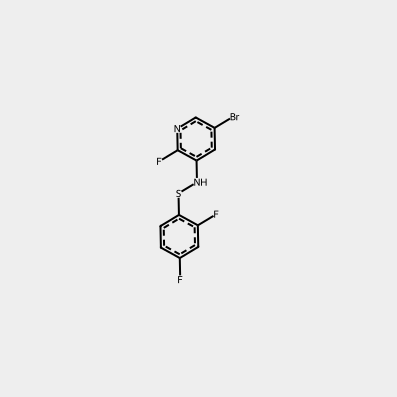 Fc1ccc(SNc2cc(Br)cnc2F)c(F)c1